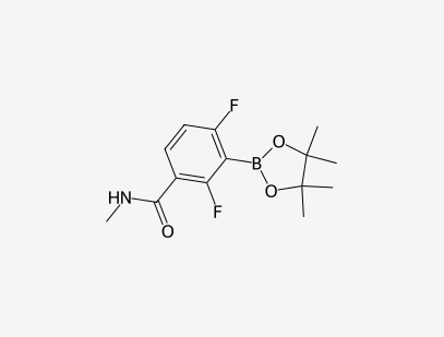 CNC(=O)c1ccc(F)c(B2OC(C)(C)C(C)(C)O2)c1F